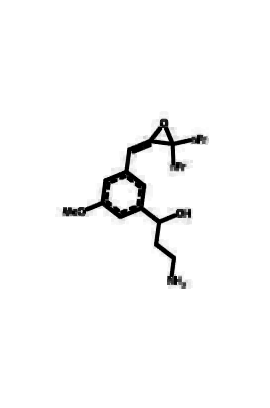 CCCC1(CCC)OC1=Cc1cc(OC)cc(C(O)CCN)c1